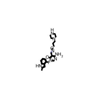 Cc1cc2c(F)c(Oc3ncnc(N)c3/C=N/OCCCN3CCNCC3)ccc2[nH]1